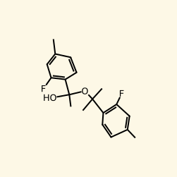 Cc1ccc(C(C)(C)OC(C)(O)c2ccc(C)cc2F)c(F)c1